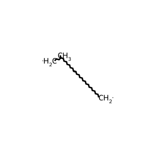 [CH2]CCCCCCCCCCCCCCCC=CCCCCCCCC(C)CC[CH2]